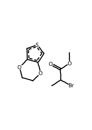 COC(=O)C(C)Br.c1scc2c1OCCO2